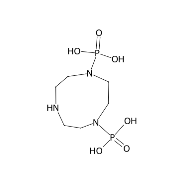 O=P(O)(O)N1CCNCCN(P(=O)(O)O)CC1